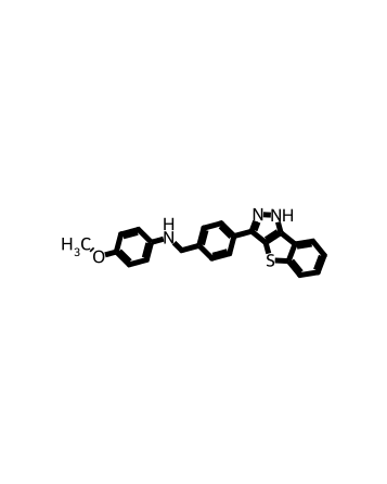 COc1ccc(NCc2ccc(-c3n[nH]c4c3sc3ccccc34)cc2)cc1